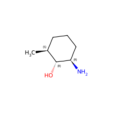 C[C@H]1CCC[C@@H](N)[C@@H]1O